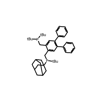 CC(C)(C)P(Cc1cc(-c2ccccc2)c(-c2ccccc2)cc1CP(C(C)(C)C)C12CC3CC(CC(C3)C1)C2)C(C)(C)C